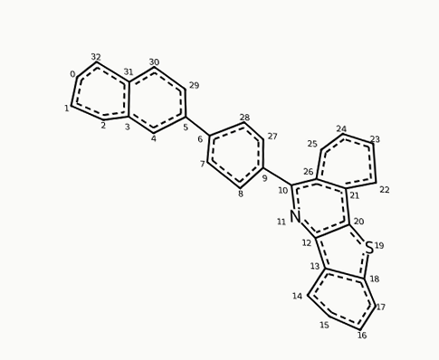 c1ccc2cc(-c3ccc(-c4nc5c6ccccc6sc5c5ccccc45)cc3)ccc2c1